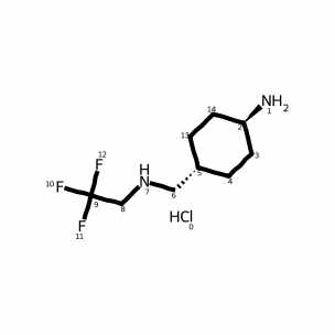 Cl.N[C@H]1CC[C@H](CNCC(F)(F)F)CC1